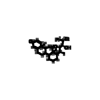 CC[C@@H](C(C)C)[C@H](O)[C@@H](O)[C@@H](C)[C@H]1CCCC2C3CCC4=CC(=O)C=C[C@]4(C)C3CC[C@@]21C